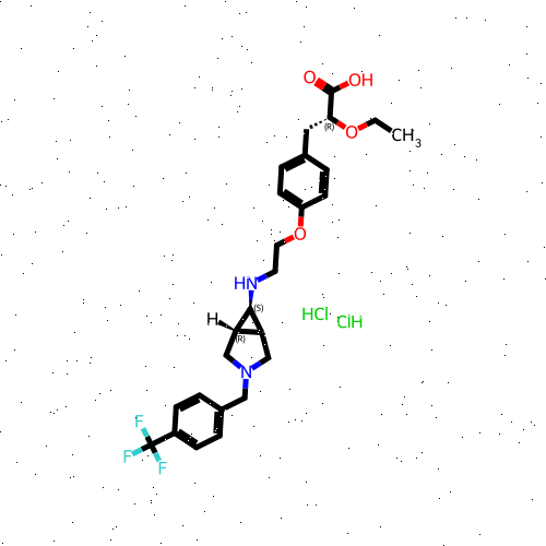 CCO[C@H](Cc1ccc(OCCN[C@H]2C3CN(Cc4ccc(C(F)(F)F)cc4)C[C@@H]32)cc1)C(=O)O.Cl.Cl